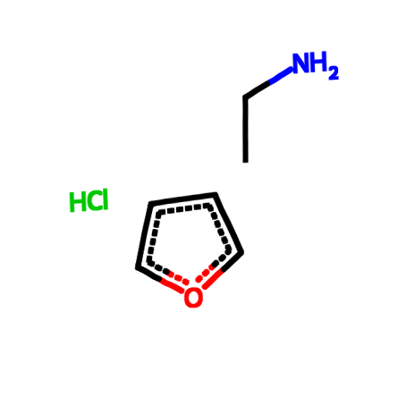 CCN.Cl.c1ccoc1